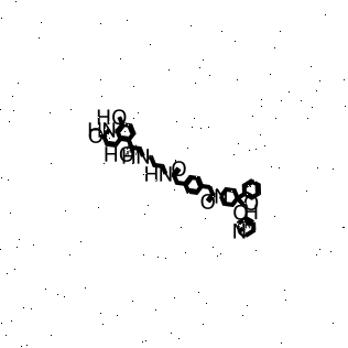 O=C(Cc1ccc(CC(=O)N2CCC(C(=O)O[C@H]3CN4CCC3CC4)(c3ccccc3)CC2)cc1)NCCCNC[C@H](O)c1ccc(O)c2[nH]c(=O)ccc12